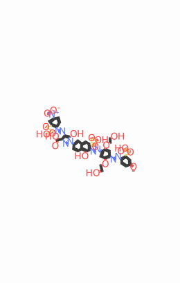 COc1ccc(/N=N/c2cc(OCCO)c(/N=N/c3c(S(=O)(=O)O)cc4cc(-n5nc(C(=O)O)c(/N=N/c6ccc([N+](=O)[O-])cc6S(=O)(=O)O)c5O)ccc4c3O)cc2OCCO)c(S(=O)(=O)O)c1